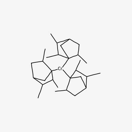 CC1C2CC(C)[C]([Cr]([C]34CC(CC3C)C(C)C4C)[C]34CC(CC3C)C(C)C4C)(C2)C1C